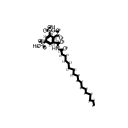 CCCCCCCCCCCCCCCCCC(=O)NC(=O)c1cc(S(=O)(=O)O)cc(S(=O)(=O)O)c1I(=O)=O